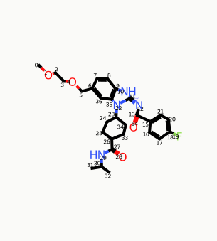 COCCOCc1ccc2[nH]/c(=N/C(=O)c3ccc(F)cc3)n(C3CCC(C(=O)NC(C)C)CC3)c2c1